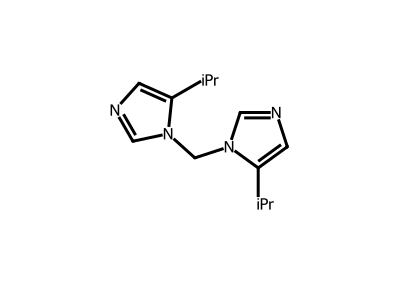 CC(C)c1cncn1Cn1cncc1C(C)C